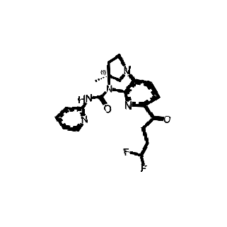 C[C@]12CCN(C1)c1ccc(C(=O)CCC(F)F)nc1N2C(=O)Nc1ccccn1